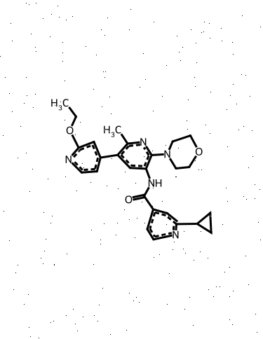 CCOc1cc(-c2cc(NC(=O)c3ccnc(C4CC4)c3)c(N3CCOCC3)nc2C)ccn1